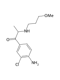 COCCCNC(C)C(=O)c1ccc(N)c(Cl)c1